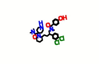 CN(C)C(=O)C1(N2CCCCC2CCC(CN(C)C(=O)c2ccc(O)cc2)c2ccc(Cl)c(Cl)c2)CCNCC1